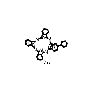 [Zn].c1ccc(-c2ccc3c4nc5nc(nc6[nH]c(nc7nc(nc([nH]4)c3c2)-c2ccccc2-7)c2ccccc62)-c2ccccc2-5)cc1